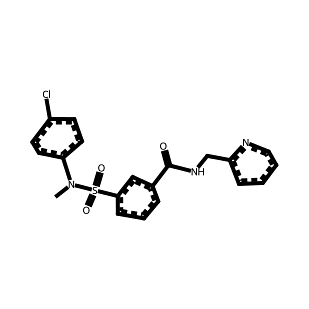 CN(c1ccc(Cl)cc1)S(=O)(=O)c1cccc(C(=O)NCc2ccccn2)c1